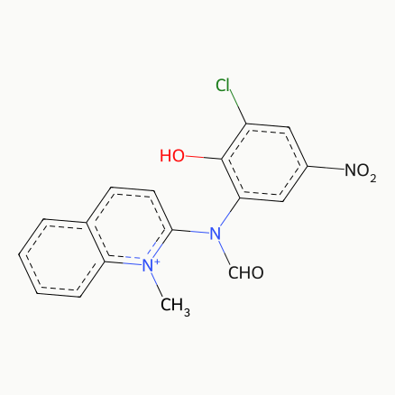 C[n+]1c(N(C=O)c2cc([N+](=O)[O-])cc(Cl)c2O)ccc2ccccc21